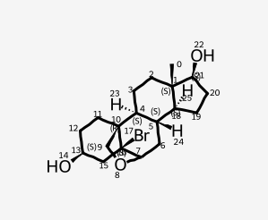 C[C@]12CC[C@H]3[C@@H](CC4OC[C@@]35CC[C@H](O)C[C@@]45Br)[C@@H]1CC[C@@H]2O